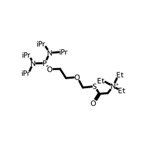 CC[N+](CC)(CC)CC(=O)SCOCCOP(N(C(C)C)C(C)C)N(C(C)C)C(C)C